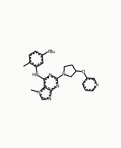 Cc1ccc(C(C)(C)C)cc1Nc1nc(N2CCC(Oc3cccnc3)C2)nc2ncn(C)c12